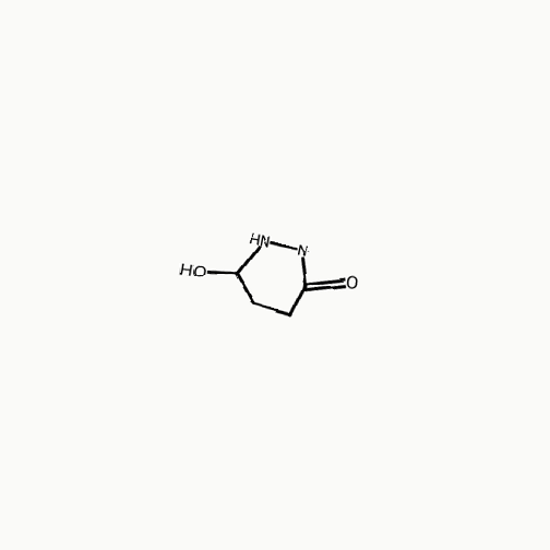 O=C1CCC(O)N[N]1